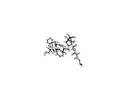 C=CCNC(=O)C(=O)CNC(=O)[C@@H]1[C@@H]2[C@H](CN1C(=O)[C@@H](NC(=O)NC1(CS(=O)(=O)C(C)(C)COC)CCCCC1)C1(C)CCCCC1)C2(C)C